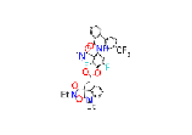 CCN(C)C(=O)C(CCC(=O)Oc1c(F)cc(NC(=O)c2ccccc2-c2ccc(C(F)(F)F)cc2)c(C(=O)N(C)C)c1F)(C(=O)N(C)CC)c1ccccc1